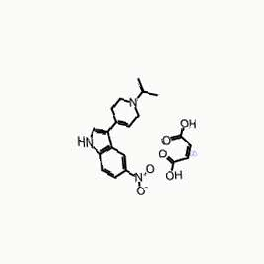 CC(C)N1CC=C(c2c[nH]c3ccc([N+](=O)[O-])cc23)CC1.O=C(O)/C=C\C(=O)O